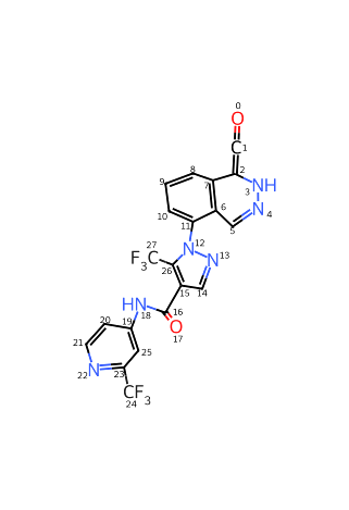 O=C=C1NN=Cc2c1cccc2-n1ncc(C(=O)Nc2ccnc(C(F)(F)F)c2)c1C(F)(F)F